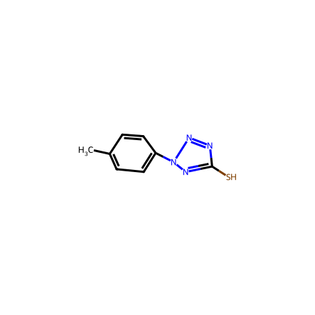 Cc1ccc(-n2nnc(S)n2)cc1